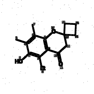 CCc1c(O)c(C)c(C)c2c1C(=O)CC1(CCC1)O2